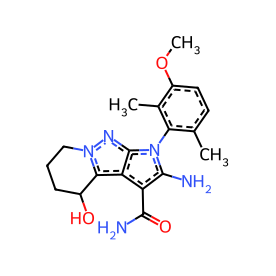 COc1ccc(C)c(-n2c(N)c(C(N)=O)c3c4n(nc32)CCCC4O)c1C